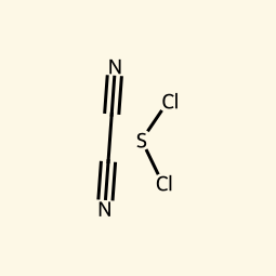 ClSCl.N#CC#N